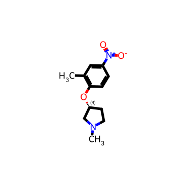 Cc1cc([N+](=O)[O-])ccc1O[C@@H]1CCN(C)C1